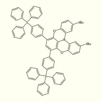 CC(C)(C)c1ccc2c(c1)B1c3cc(C(C)(C)C)ccc3Oc3c(-c4ccc(S(c5ccccc5)(c5ccccc5)c5ccccc5)cc4)cc(-c4ccc(S(c5ccccc5)(c5ccccc5)c5ccccc5)cc4)c(c31)O2